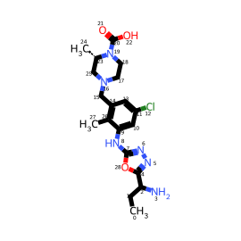 CCC(N)c1nnc(Nc2cc(Cl)cc(CN3CCN(C(=O)O)[C@@H](C)C3)c2C)o1